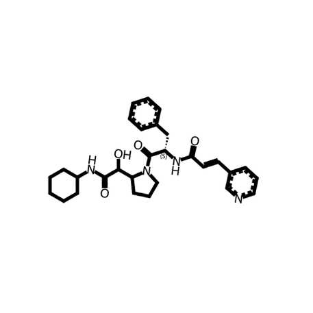 O=C(C=Cc1cccnc1)N[C@@H](Cc1ccccc1)C(=O)N1CCCC1C(O)C(=O)NC1CCCCC1